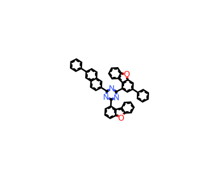 c1ccc(-c2ccc3cc(-c4nc(-c5cccc6oc7ccccc7c56)nc(-c5cc(-c6ccccc6)cc6oc7ccccc7c56)n4)ccc3c2)cc1